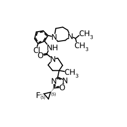 CC(C)N1CCCN(c2cccc(Cl)c2NC(=O)N2CCC(C)(c3noc([C@@H]4C[C@@H]4F)n3)CC2)CC1